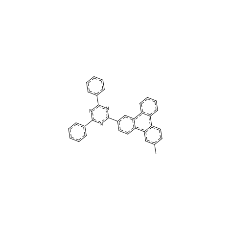 Cc1ccc2c3ccccc3c3cc(-c4nc(-c5ccccc5)nc(-c5ccccc5)n4)ccc3c2c1